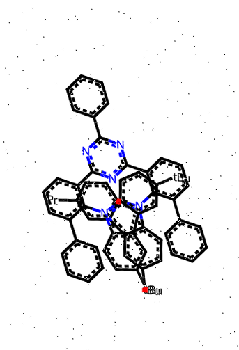 CC(C)c1ccc2c(c1)c1cc(C(C)(C)C)ccc1n2-c1c(-c2ccccc2)cccc1-c1nc(-c2ccccc2)nc(-c2cccc(-c3ccccc3)c2-n2c3ccc(C(C)(C)C)cc3c3cc(C(C)(C)C)ccc32)n1